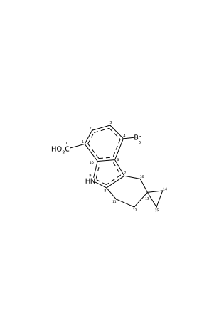 O=C(O)c1ccc(Br)c2c3c([nH]c12)CCC1(CC1)C3